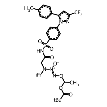 Cc1ccc(-c2cc(C(F)(F)F)nn2-c2ccc(S(=O)(=O)NC(=O)CN(C(C)C)[N+]([O-])=NOC(C)OC(=O)C(C)(C)C)cc2)cc1